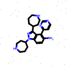 Nc1ccc2c(c(C3CCCNCC3)nn2C2CCCNCC2)c1-c1ccncn1